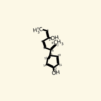 C\C=C(O)/C=C\C(=C/C)c1ccc(O)cc1